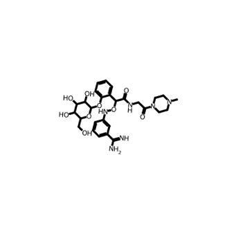 CN1CCN(C(=O)CNC(=O)C(ONc2cccc(C(=N)N)c2)c2ccccc2OC2OC(CO)C(O)C(O)C2O)CC1